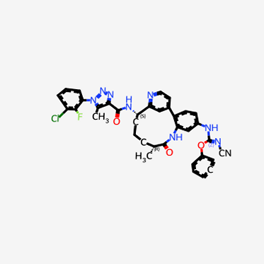 Cc1c(C(=O)N[C@H]2CCC[C@@H](C)C(=O)Nc3cc(N/C(=N/C#N)Oc4ccccc4)ccc3-c3ccnc2c3)nnn1-c1cccc(Cl)c1F